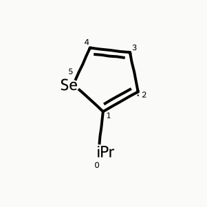 CC(C)c1[c]cc[se]1